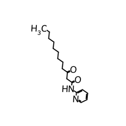 CCCCCCCCCC(=O)CC(=O)Nc1ccccn1